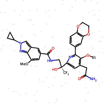 CCOc1c(CC(N)=O)cc([C@@](O)(CNC(=O)c2cc(OC)c3nn(C4CC4)cc3c2)C(F)(F)F)nc1-c1ccc2c(c1)OCCO2